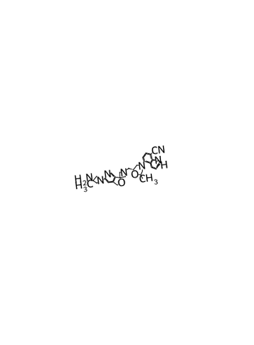 [2H]c1ccc2c(N3C[C@H](CN4CC5(C4)OCc4cc(N6CC(C)(N)C6)ncc45)O[C@H](C)C3)ccc(C#N)c2n1